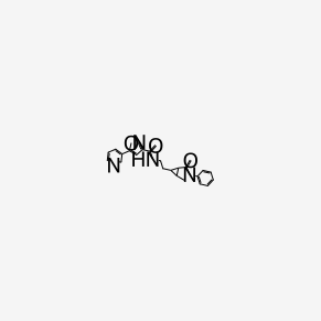 O=C(NCCC1C2CN(c3ccccc3)C(=O)C12)c1cc(-c2cccnc2)on1